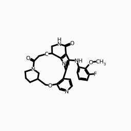 COc1c(F)cccc1Nc1c2[nH]c3c1C(=O)NCC3CCC(=O)N1CCCC(COc3cnccc3-2)C1